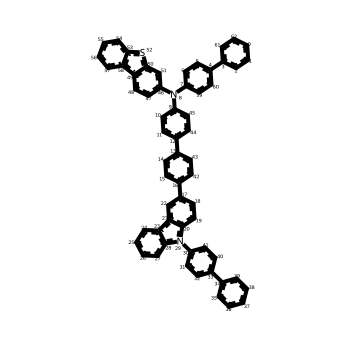 c1ccc(-c2ccc(N(c3ccc(-c4ccc(-c5ccc6c(c5)c5ccccc5n6-c5ccc(-c6ccccc6)cc5)cc4)cc3)c3ccc4c(c3)sc3ccccc34)cc2)cc1